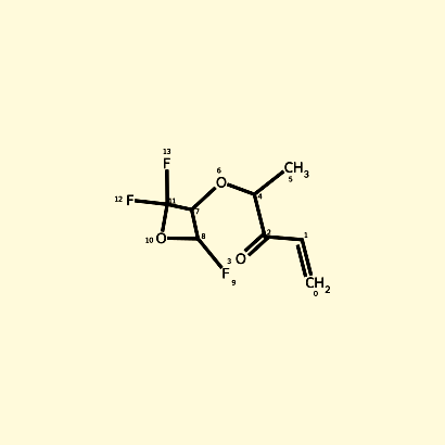 C=CC(=O)C(C)OC1C(F)OC1(F)F